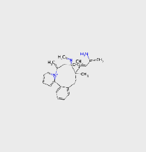 C=NC1(C)CC(=C)[n+]2ccccc2-c2ccccc2CCC1(C)/C(C)=C/C(=C)N